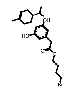 CC1=CC[C@@H](C(C)C)[C@H](c2c(O)cc(CC(=O)OCCCCBr)cc2O)C1